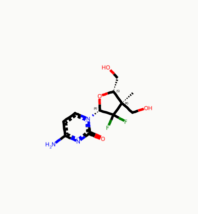 C[C@@]1(CO)[C@@H](CO)O[C@@H](n2ccc(N)nc2=O)C1(F)F